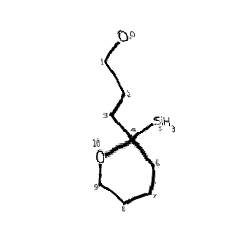 [O]CCCC1([SiH3])CCCCO1